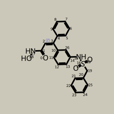 O=C(/C=C(/c1ccccc1)c1cccc(NS(=O)(=O)Cc2ccccc2)c1)NO